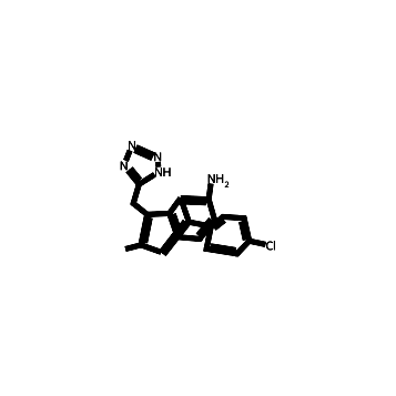 CC1=C(Cc2nnn[nH]2)c2c3ccc(N)c2C(c2ccc(Cl)cc2)=C13